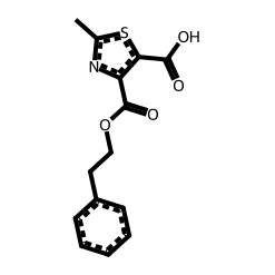 Cc1nc(C(=O)OCCc2ccccc2)c(C(=O)O)s1